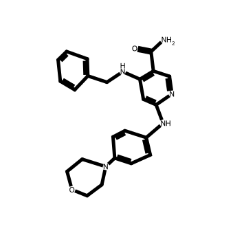 NC(=O)c1cnc(Nc2ccc(N3CCOCC3)cc2)cc1NCc1ccccc1